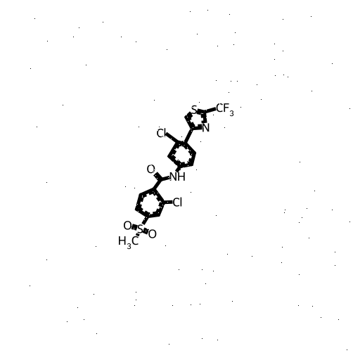 CS(=O)(=O)c1ccc(C(=O)Nc2ccc(-c3csc(C(F)(F)F)n3)c(Cl)c2)c(Cl)c1